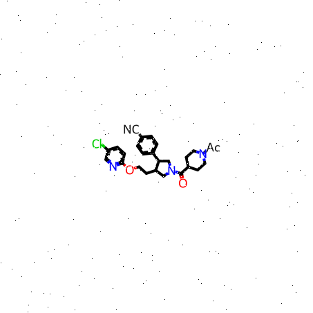 CC(=O)N1CCC(C(=O)N2CC(CCOc3ccc(Cl)cn3)C(c3ccc(C#N)cc3)C2)CC1